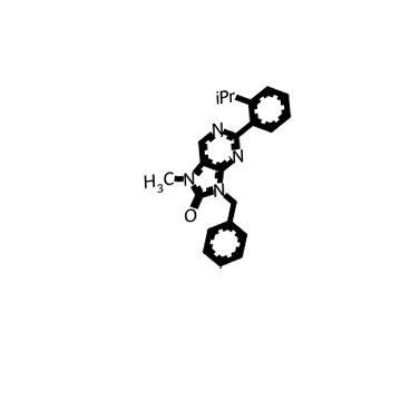 CC(C)c1ccccc1-c1ncc2c(n1)n(Cc1cc[c]cc1)c(=O)n2C